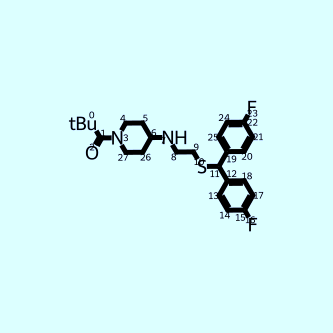 CC(C)(C)C(=O)N1CCC(NCCSC(c2ccc(F)cc2)c2ccc(F)cc2)CC1